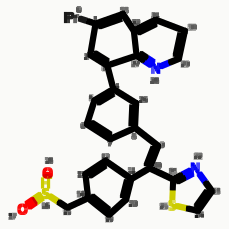 CC(C)c1cc(-c2cccc(/C=C(\c3ccc(C[SH](=O)=O)cc3)c3nccs3)c2)c2ncccc2c1